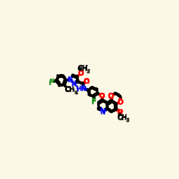 COC1=C2OCCOC2=C2C(Oc3ccc(NC(=O)c4nn(-c5ccc(F)cc5C)cc4OC)cc3F)=CC=NC2C1